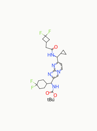 CC(C)(C)OC(=O)N[C@H](c1cn2ccc([C@@H](NC(=O)CC3CC(F)(F)C3)C3CC3)nc2n1)C1CCC(F)(F)CC1